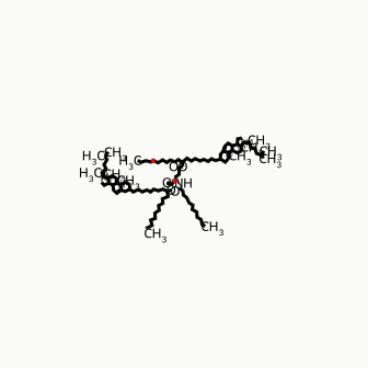 CCCCCCCCCCCC(=O)N[C@@H](CCC(=O)OC(CCCCCCCCCCC)CCCCCCCCC1CC[C@@]2(C)C(=CCC3C2CC[C@@]2(C)C3CC[C@@H]2[C@H](C)CCCC(C)C)C1)C(=O)OC(CCCCCCCCCCC)CCCCCCCCC1CC[C@@]2(C)C(=CCC3C2CC[C@@]2(C)C3CC[C@@H]2[C@H](C)CCCC(C)C)C1